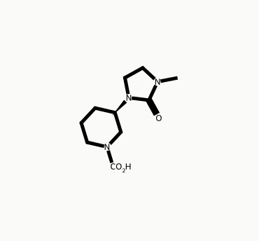 CN1CCN([C@@H]2CCCN(C(=O)O)C2)C1=O